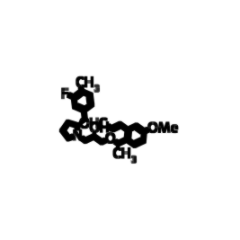 COc1ccc([C@@H](C)OC[C@H](O)CN2CCC[C@H]2Cc2ccc(C)c(F)c2)c(/C=C/C=O)c1